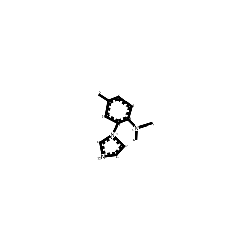 Cc1ccc(N(C)C)c(-n2ccnc2)c1